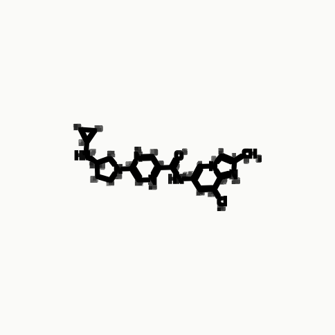 Cc1cn2cc(NC(=O)c3cnc(N4CC[C@@H](NC5CC5)C4)cn3)cc(Cl)c2n1